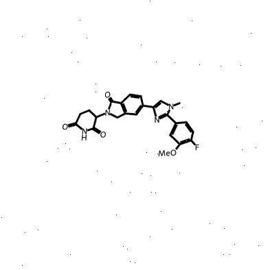 COc1cc(-c2nc(-c3ccc4c(c3)CN(C3CCC(=O)NC3=O)C4=O)cn2C)ccc1F